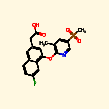 Cc1cc(S(C)(=O)=O)cnc1Oc1cc(CC(=O)O)cc2ccc(F)cc12